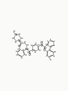 Cc1ccc(-c2ccccc2C(=O)Nc2ccc(C(=O)N3CCC(N4CCN(C)CC4)=Nc4ccccc43)cc2)cc1